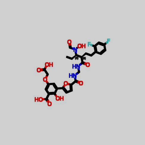 CC[C@H]([C@@H](CCc1ccc(F)cc1F)C(=O)NCNC(=O)c1ccc(-c2cc(OCC(=O)O)cc(C(=O)O)c2O)o1)N(O)C=O